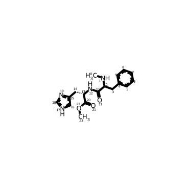 CNC(Cc1ccccc1)C(=O)N[C@@H](Cc1c[nH]cn1)C(=O)OC